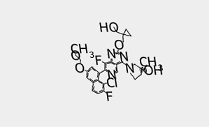 COCOc1cc(-c2ncc3c(N4CCC[C@@](C)(O)C4)nc(OCC4(CO)CC4)nc3c2F)c2c(Cl)c(F)ccc2c1